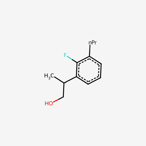 CCCc1cccc([C](C)CO)c1F